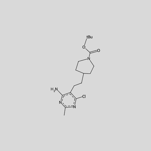 Cc1nc(N)c(CCC2CCN(C(=O)OC(C)(C)C)CC2)c(Cl)n1